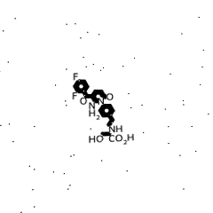 Nc1c(C(=O)c2ccc(F)cc2F)ccc(=O)n1-c1ccc(CCN[C@@H](CO)C(=O)O)cc1